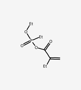 C=C(CC)C(=O)OP(=O)(CC)OCC